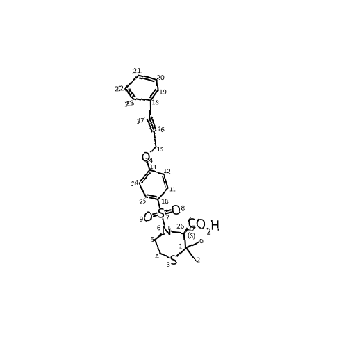 CC1(C)SCCN(S(=O)(=O)c2ccc(OCC#Cc3ccccc3)cc2)[C@H]1C(=O)O